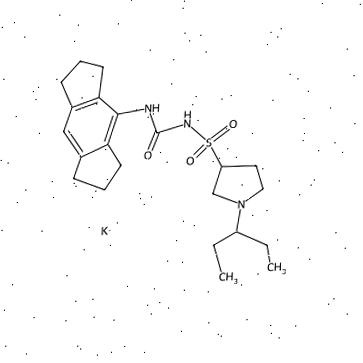 CCC(CC)N1CCC(S(=O)(=O)NC(=O)Nc2c3c(cc4c2CCC4)CCC3)C1.[K]